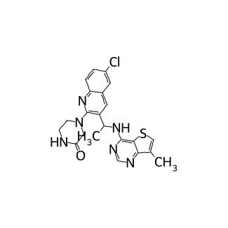 Cc1csc2c(NC(C)c3cc4cc(Cl)ccc4nc3N3CCNC(=O)C3)ncnc12